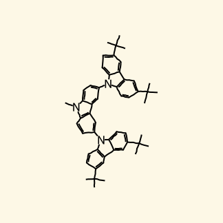 Cn1c2ccc(-n3c4ccc(C(C)(C)C)cc4c4cc(C(C)(C)C)ccc43)cc2c2cc(-n3c4ccc(C(C)(C)C)cc4c4cc(C(C)(C)C)ccc43)ccc21